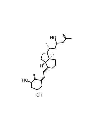 C=C(C)C[C@H](O)C[C@@H](C)[C@H]1CC[C@H]2/C(=C/C=C3/C[C@H](O)C[C@@H](O)C3=C)CCC[C@]12C